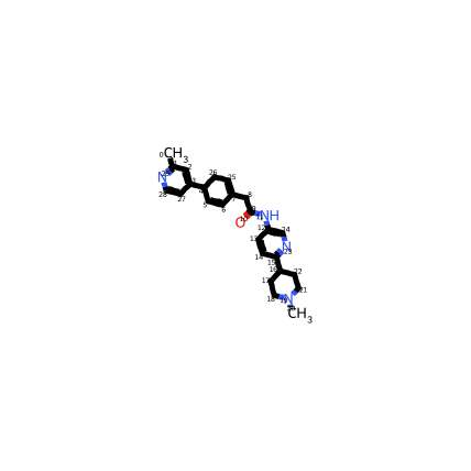 Cc1cc(C2C=CC(CC(=O)Nc3ccc(C4CCN(C)CC4)nc3)=CC2)ccn1